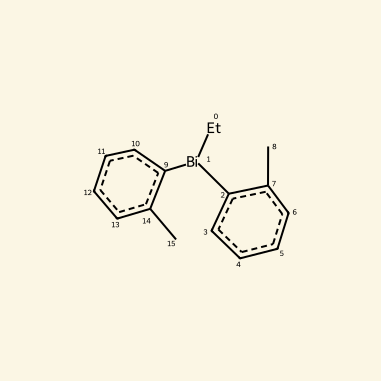 C[CH2][Bi]([c]1ccccc1C)[c]1ccccc1C